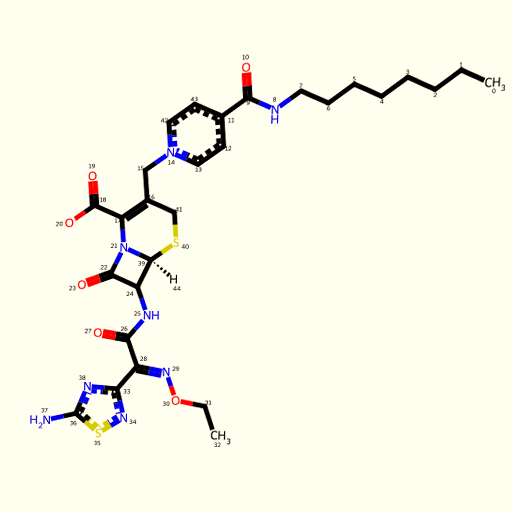 CCCCCCCCNC(=O)c1cc[n+](CC2=C(C(=O)[O-])N3C(=O)C(NC(=O)C(=NOCC)c4nsc(N)n4)[C@@H]3SC2)cc1